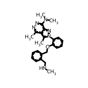 CNCc1ccccc1COc1ccccc1-n1nc2c(N(C)C)nnc(C)c2c1C